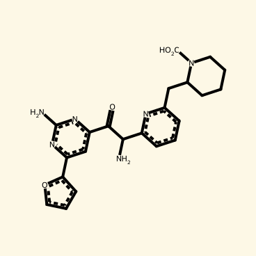 Nc1nc(C(=O)C(N)c2cccc(CC3CCCCN3C(=O)O)n2)cc(-c2ccco2)n1